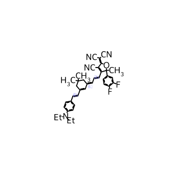 CCN(CC)c1ccc(/C=C/C2=CC(=C/C=C/C3=C(C#N)C(=C(C#N)C#N)OC3(C)c3ccc(F)c(F)c3)/CC(C)(C)C2)cc1